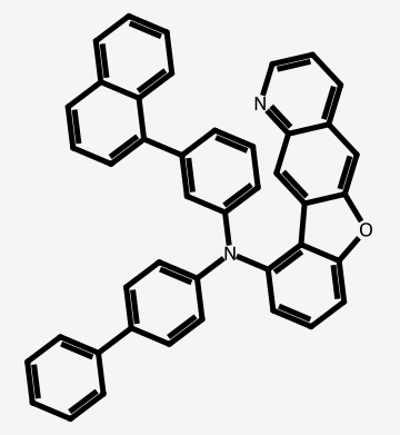 c1ccc(-c2ccc(N(c3cccc(-c4cccc5ccccc45)c3)c3cccc4oc5cc6cccnc6cc5c34)cc2)cc1